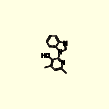 Cc1cc(C)c(O)c(-n2cnc3ccccc32)n1